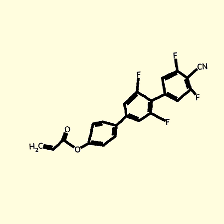 C=CC(=O)Oc1ccc(-c2cc(F)c(-c3cc(F)c(C#N)c(F)c3)c(F)c2)cc1